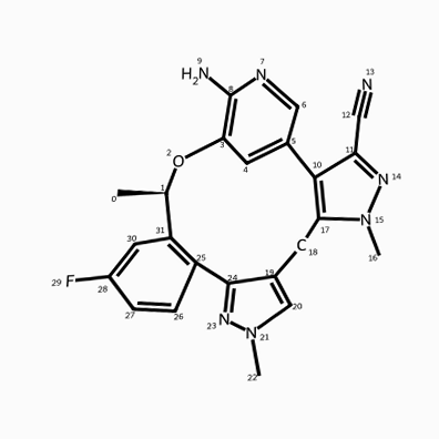 C[C@H]1Oc2cc(cnc2N)-c2c(C#N)nn(C)c2Cc2cn(C)nc2-c2ccc(F)cc21